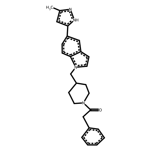 Cc1cc(-c2ccc3c(ccn3CC3CCN(C(=O)Cc4ccccc4)CC3)c2)[nH]n1